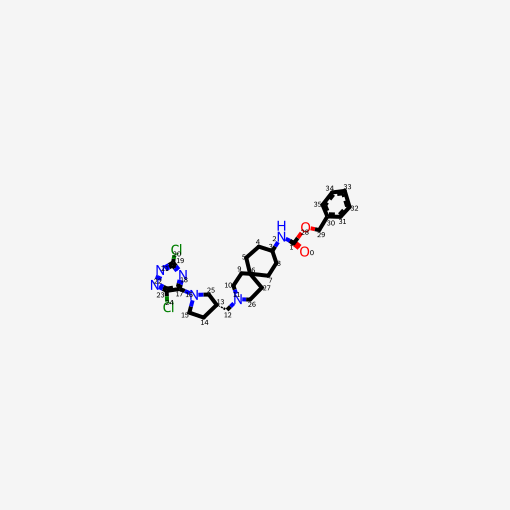 O=C(NC1CCC2(CC1)CCN(C[C@@H]1CCN(c3nc(Cl)nnc3Cl)C1)CC2)OCc1ccccc1